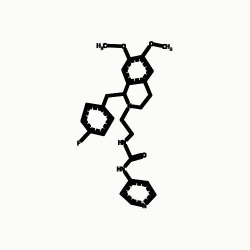 COc1cc2c(cc1OC)C(Cc1ccc(F)cc1)N(CCNC(=O)Nc1ccncc1)CC2